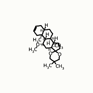 CO[C@H]1C[C@@]2(C)[C@@H](CCC23OCC(C)(C)CO3)[C@@H]2CC[C@H]3CC=CC[C@]3(C)[C@H]21